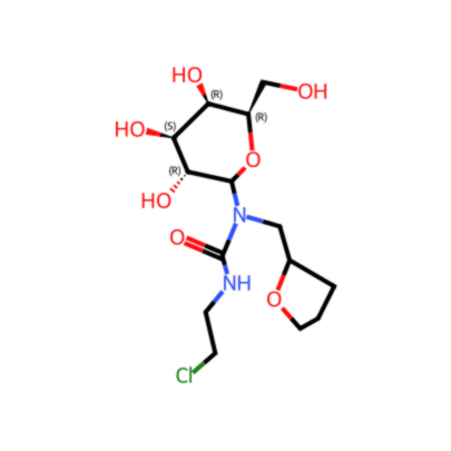 O=C(NCCCl)N(CC1CCCO1)C1O[C@H](CO)[C@H](O)[C@H](O)[C@H]1O